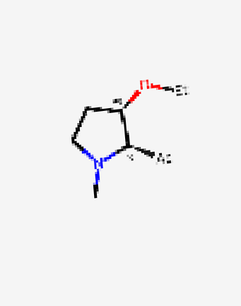 CCO[C@@H]1CCN(C)[C@@H]1C(C)=O